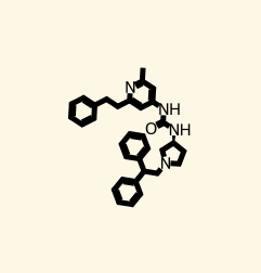 Cc1cc(NC(=O)N[C@H]2CCN(CC(c3ccccc3)c3ccccc3)C2)cc(CCc2ccccc2)n1